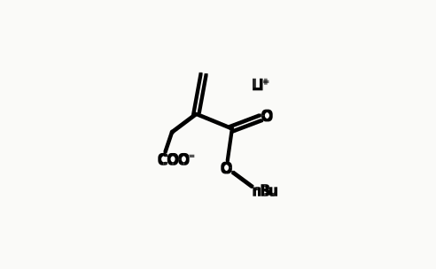 C=C(CC(=O)[O-])C(=O)OCCCC.[Li+]